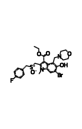 CCOC(=O)c1c(C[S+]([O-])Cc2ccc(F)cc2)n(C)c2cc(Br)c(O)c(CN3CCOCC3)c12